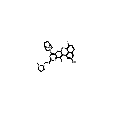 CCc1c(F)ccc2cc(O)cc(-c3c(F)cc4c(N5CC6CCC(C5)N6)nc(OC[C@@H]5CCCN5C)nc4c3F)c12